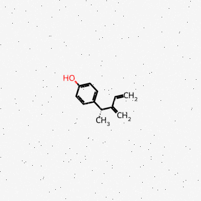 C=CC(=C)[C@H](C)c1ccc(O)cc1